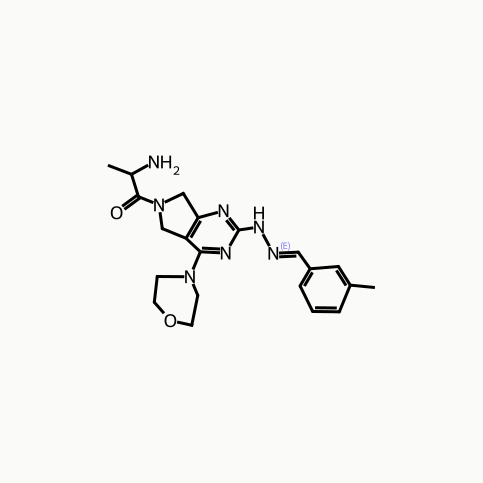 Cc1cccc(/C=N/Nc2nc3c(c(N4CCOCC4)n2)CN(C(=O)C(C)N)C3)c1